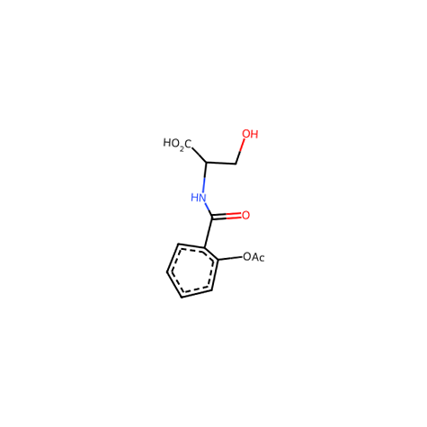 CC(=O)Oc1ccccc1C(=O)NC(CO)C(=O)O